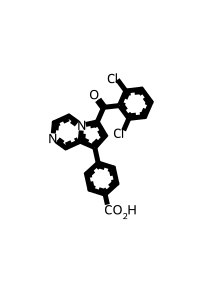 O=C(O)c1ccc(-c2cc(C(=O)c3c(Cl)cccc3Cl)n3ccncc23)cc1